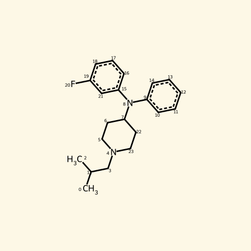 C[C](C)CN1CCC(N(c2ccccc2)c2cccc(F)c2)CC1